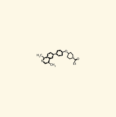 CCC(=O)N1CCC(Oc2ccc(-c3ccc4c(C)ncc(C)c4c3)cc2)CC1